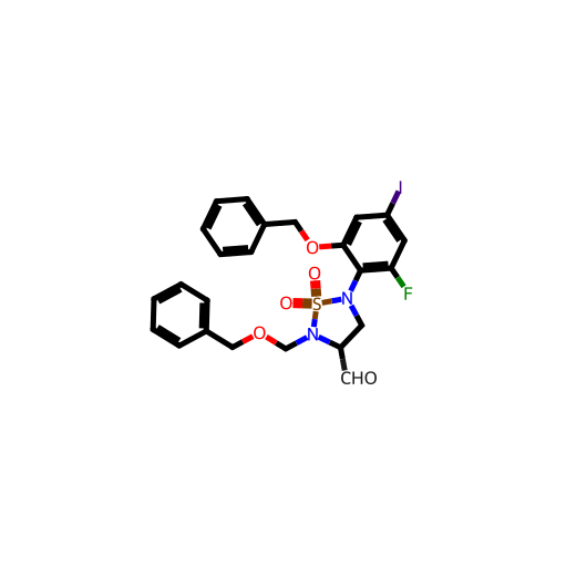 O=CC1CN(c2c(F)cc(I)cc2OCc2ccccc2)S(=O)(=O)N1COCc1ccccc1